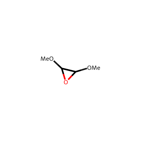 COC1OC1OC